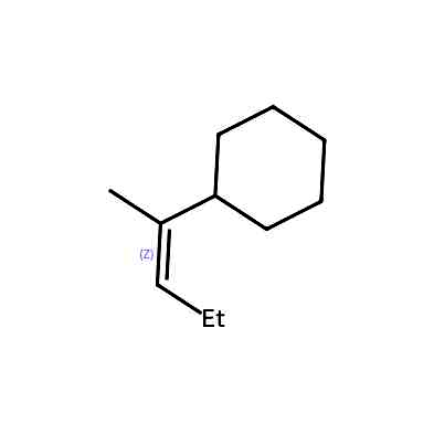 CC/C=C(/C)C1CCCCC1